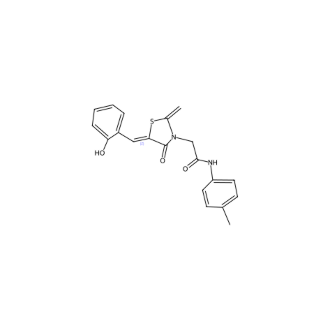 C=c1s/c(=C\c2ccccc2O)c(=O)n1CC(=O)Nc1ccc(C)cc1